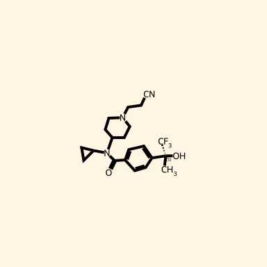 C[C@](O)(c1ccc(C(=O)N(C2CC2)C2CCN(CCC#N)CC2)cc1)C(F)(F)F